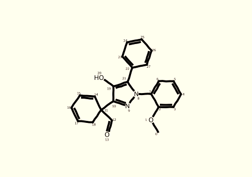 COc1ccccc1-n1nc(C2(C=O)C=CC=CC2)c(O)c1-c1ccccc1